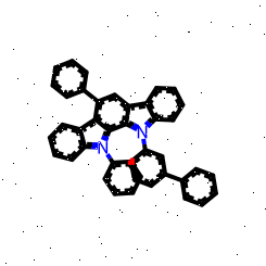 c1ccc(-c2cccc(-n3c4ccccc4c4cc(-c5ccccc5)c5c6ccccc6n(-c6ccccc6)c5c43)c2)cc1